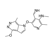 CNc1c(C)ncc(On2ccc3c(OC)nnc(C)c32)c1C=N